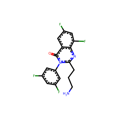 NCCCc1nc2c(F)cc(F)cc2c(=O)n1-c1cc(F)cc(F)c1